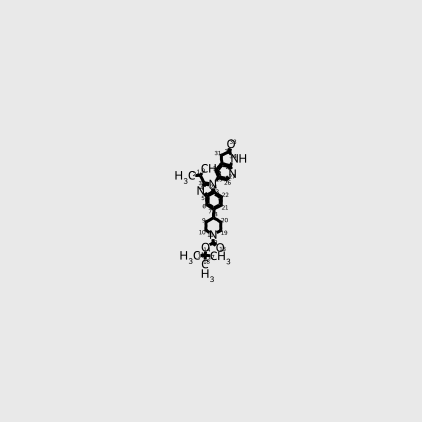 CC(C)c1nc2cc(C3CCN(C(=O)OC(C)(C)C)CC3)ccc2n1-c1cnc2c(c1)CC(=O)N2